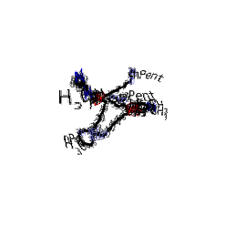 CCCCC/C=C\C/C=C\CCCCCCCCC1(CCCCCCCC/C=C2C/C=C\CC(CCC)C(C)CCC\C=C\2C/C=C\CCCCCCCCC2(CCCCCCCC/C=C\C/C=C\CCCCC)O[C@@H]3CC[C@H](N(C)C)C[C@H]3O2)O[C@H]2CC(N(C)Cc3cccnc3)C[C@H]2O1